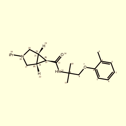 Cc1ccccc1OCC(C)(C)NC(=O)[C@H]1[C@@H]2CN(C(C)C)C[C@@H]21